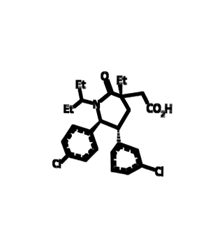 CCC(CC)N1C(=O)[C@](CC)(CC(=O)O)C[C@H](c2cccc(Cl)c2)[C@H]1c1ccc(Cl)cc1